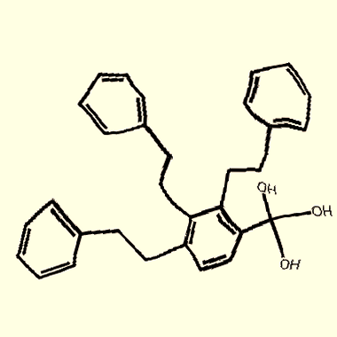 OC(O)(O)c1ccc(CCc2ccccc2)c(CCc2ccccc2)c1CCc1ccccc1